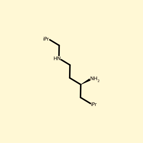 CC(C)CNCC[C@@H](N)CC(C)C